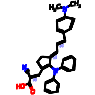 CN(C)c1ccc(/C=C/C=C2\CCC(/C=C(\C#N)C(=O)O)=C2N(c2ccccc2)c2ccccc2)cc1